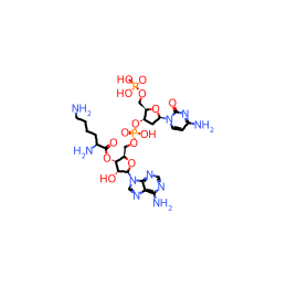 NCCCC[C@H](N)C(=O)O[C@H]1[C@@H](O)[C@H](n2cnc3c(N)ncnc32)O[C@@H]1COP(=O)(O)O[C@H]1C[C@H](n2ccc(N)nc2=O)O[C@@H]1COP(=O)(O)O